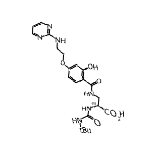 CC(C)(C)NC(=O)N[C@@H](CNC(=O)c1ccc(OCCNc2ncccn2)cc1O)C(=O)O